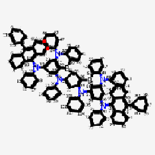 c1ccc(-c2c3ccccc3c(N(c3ccccc3)c3cc4c5c(c3)N(c3ccccc3)c3cc6c(cc3B5c3ccccc3N4c3ccccc3)B3c4ccccc4N(c4ccccc4)c4cc(N(c5ccccc5)c5c7ccccc7c(-c7ccccc7)c7ccccc57)cc(c43)N6c3ccccc3)c3ccccc23)cc1